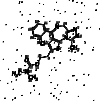 Cc1nnc2n1-c1sc(CCOC(=O)N(C)C)cc1C(c1ccccc1Cl)=NC2